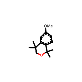 COc1ccc2c(c1)C(C)(C)COC2(C)C